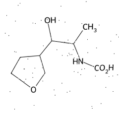 CC(NC(=O)O)C(O)C1CCOC1